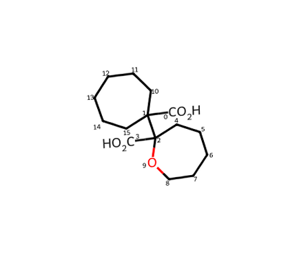 O=C(O)C1(C2(C(=O)O)CCCCCO2)CCCCCC1